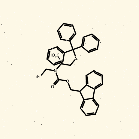 CC(C)CN(C(=O)OCC1c2ccccc2-c2ccccc21)[C@@H](CSC(c1ccccc1)(c1ccccc1)c1ccccc1)C(=O)O